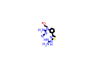 COCCN(C(N)=NC#N)c1cccc(-c2csc(NC(=N)N)n2)c1